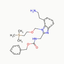 CS(C)(C)CCOCn1c(CNC(=O)OCc2ccccc2)nc2cccc(CCN)c21